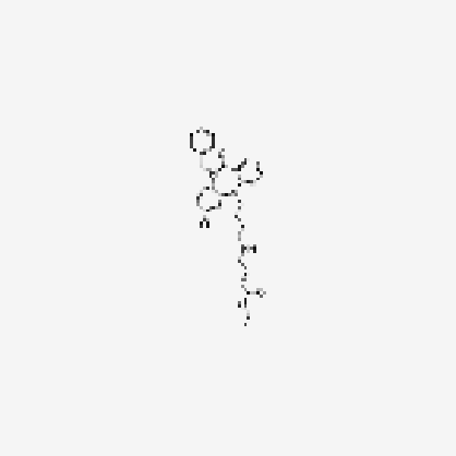 CCOC(=O)/C=C/CNCCCCN1c2ccccc2C(=O)N(Cc2ccccc2)c2ccc(Cl)cc21